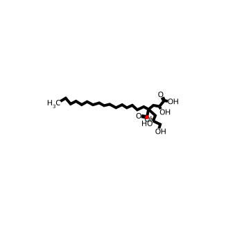 CCCCCCCCCCCCCCCCC(CC(O)CO)(CC(O)C(=O)O)C(=O)O